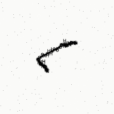 CN1CCN(c2ccc3[nH]c(-c4ccc5nc(-c6cccc(OCCCC(=O)NCCCNCCCCNCCCNC(=O)CCCOc7cccc(-c8nc9ccc(-c%10nc%11cc(N%12CCN(C)CC%12)ccc%11[nH]%10)cc9[nH]8)c7)c6)[nH]c5c4)nc3c2)CC1